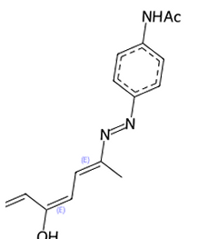 C=C/C(O)=C\C=C(/C)N=Nc1ccc(NC(C)=O)cc1